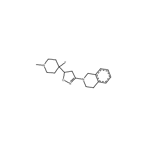 CN1CCC(F)(C2CC(N3CCc4ccccc4C3)=NO2)CC1